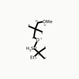 CCC(C)(C)[SiH2]OCC(C)(C)COC